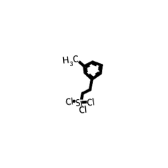 Cc1cccc(CC[Si](Cl)(Cl)Cl)c1